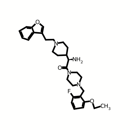 CCOc1cccc(F)c1CN1CCN(C(=O)[C@H](N)C2CCN(CCc3coc4ccccc34)CC2)CC1